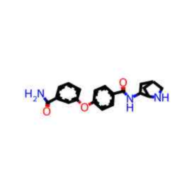 NC(=O)c1cccc(Oc2ccc(C(=O)NC3CC4CNC3C4)cc2)c1